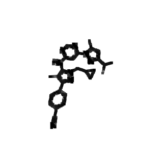 Cc1c(-c2ccc(C#N)cc2)nn(CC2CC2)c1Nc1cc(-n2nc(C(C)C)cc2C)ncn1